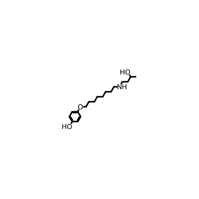 CC(O)CCNCCCCCCCCOc1ccc(O)cc1